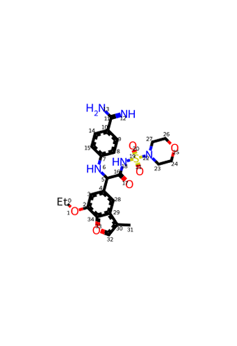 CCOc1cc(C(Nc2ccc(C(=N)N)cc2)C(=O)NS(=O)(=O)N2CCOCC2)cc2c(C)coc12